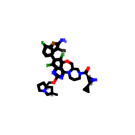 C[C@H]1CN2CCC[C@@]2(COc2nc3c4c(c(Cl)c(-c5ccc(F)c6sc(N)c(C#N)c56)c(F)c4n2)OCC2CN(C(=O)[C@@H]4N[C@H]4C4CC4)CCCN32)C1